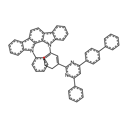 C1=C(c2nc(-c3ccccc3)cc(-c3ccc(-c4ccccc4)cc3)n2)CCC=C1n1c2ccccc2c2ccc3c4ccccc4n(-c4ccccc4)c3c21